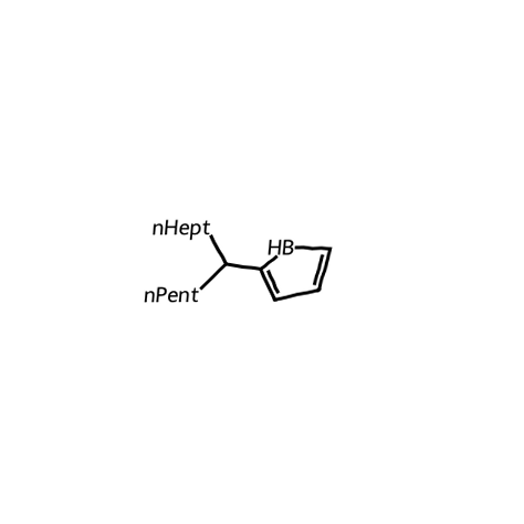 CCCCCCCC(CCCCC)C1=CC=CB1